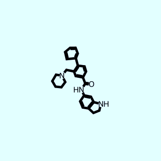 O=C(Nc1ccc2c(c1)NCC2)c1ccc(-c2ccccc2)c(CN2CCCCC2)c1